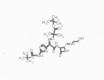 CC(C)(C)OC(=O)Nc1nc(C(=NOC(C)(C)C(=O)OC(C)(C)C)C(=O)N[C@@H]2C(=O)N[C@H]2CNCCO)cs1